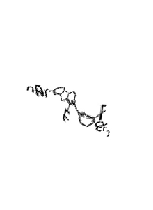 CCCc1ccc2c(c1)Cc1c-2ccc(-c2ccc(OC(F)(F)F)c(F)c2)c1F